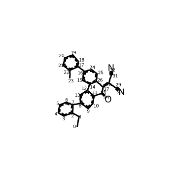 CCc1ccccc1-c1ccc2c(c1)-c1cc(-c3ccccc3C)ccc1C(=C(C#N)C#N)C2=O